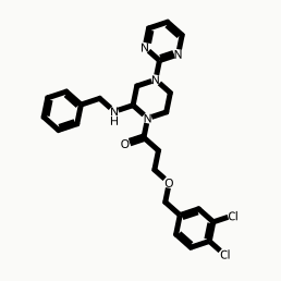 O=C(CCOCc1ccc(Cl)c(Cl)c1)N1CCN(c2ncccn2)CC1NCc1ccccc1